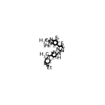 CCN1CC2CC1CN(C(C)c1ccc(Nc3ncc(F)c(-c4cc(F)c5nc(C)n(C(C)C)c5c4)n3)nc1)C2